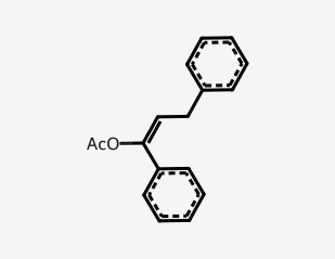 CC(=O)OC(=CCc1ccccc1)c1ccccc1